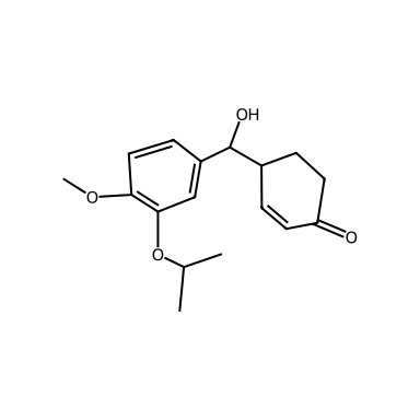 COc1ccc(C(O)C2C=CC(=O)CC2)cc1OC(C)C